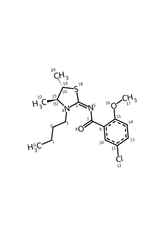 CCCCN1C(=NC(=O)c2cc(Cl)ccc2OC)S[C@@H](C)[C@@H]1C